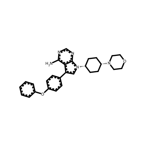 Nc1ncnc2c1c(-c1ccc(Oc3ccccc3)cc1)cn2[C@H]1CC[C@@H](N2CCOCC2)CC1